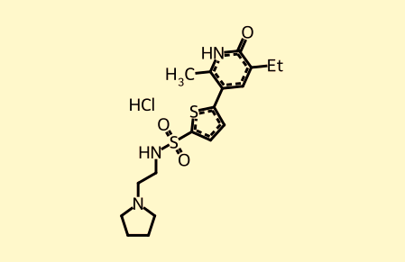 CCc1cc(-c2ccc(S(=O)(=O)NCCN3CCCC3)s2)c(C)[nH]c1=O.Cl